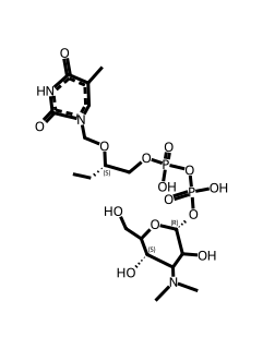 CC[C@@H](COP(=O)(O)OP(=O)(O)O[C@H]1OC(CO)[C@@H](O)C(N(C)C)C1O)OCn1cc(C)c(=O)[nH]c1=O